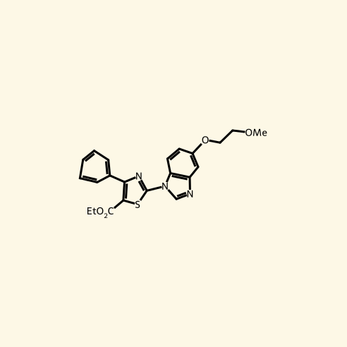 CCOC(=O)c1sc(-n2cnc3cc(OCCOC)ccc32)nc1-c1ccccc1